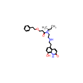 CC[C@@H](C)N(CCNCCc1ccc(O)c2[nH]c(=O)ccc12)C(=O)CCOCCc1ccccc1